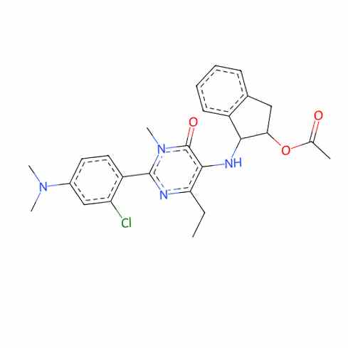 CCc1nc(-c2ccc(N(C)C)cc2Cl)n(C)c(=O)c1NC1c2ccccc2CC1OC(C)=O